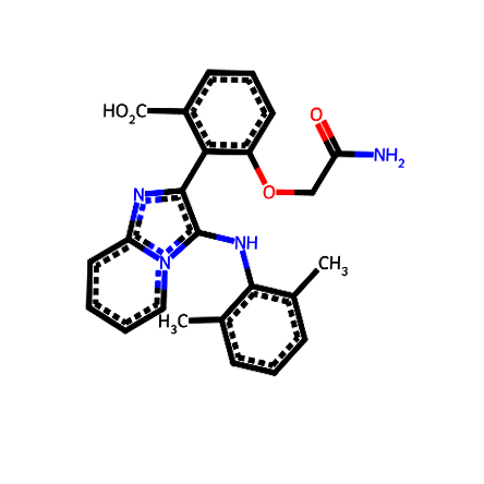 Cc1cccc(C)c1Nc1c(-c2c(OCC(N)=O)cccc2C(=O)O)nc2ccccn12